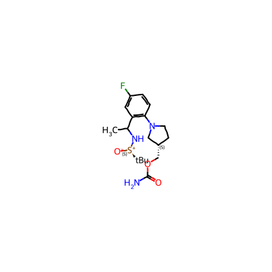 CC(N[S@+]([O-])C(C)(C)C)c1cc(F)ccc1N1CC[C@H](COC(N)=O)C1